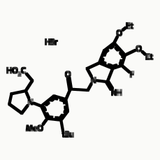 Br.CCOc1cc2c(c(F)c1OCC)C(=N)N(CC(=O)c1cc(N3CCCC3CC(=O)O)c(OC)c(C(C)(C)C)c1)C2